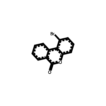 O=c1oc2cccc(Br)c2c2ccccc12